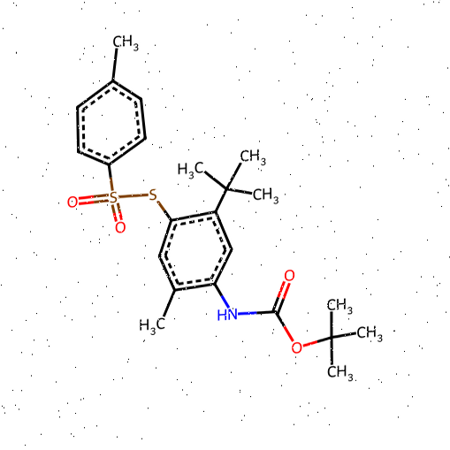 Cc1ccc(S(=O)(=O)Sc2cc(C)c(NC(=O)OC(C)(C)C)cc2C(C)(C)C)cc1